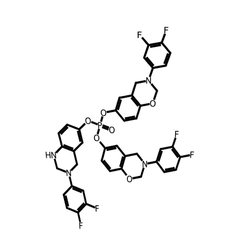 O=P(Oc1ccc2c(c1)CN(c1ccc(F)c(F)c1)CN2)(Oc1ccc2c(c1)CN(c1ccc(F)c(F)c1)CO2)Oc1ccc2c(c1)CN(c1ccc(F)c(F)c1)CO2